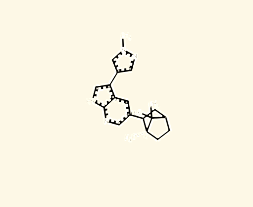 Cn1cc(-c2c[nH]c3ncc(C4CC5CC[C@]4(C)C5(C)C)cc23)cn1